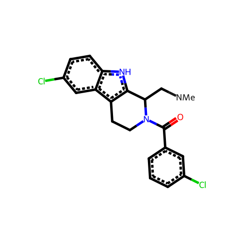 CNCC1c2[nH]c3ccc(Cl)cc3c2CCN1C(=O)c1cccc(Cl)c1